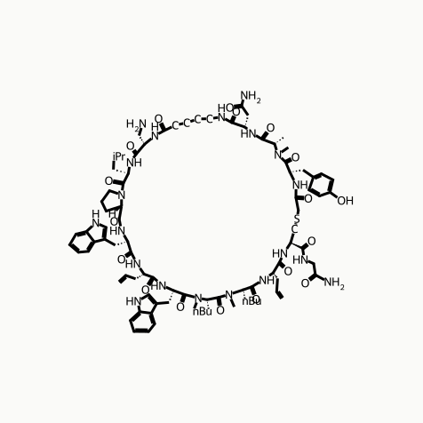 C=CC[C@@H]1NC(=O)[C@H](Cc2c[nH]c3ccccc23)NC(=O)[C@@H]2CCCN2C(=O)[C@H](CC(C)C)NC(=O)[C@H](CN)NC(=O)CCCCNC(=O)[C@H](CC(N)=O)NC(=O)[C@H](C)N(C)C(=O)[C@H](Cc2ccc(O)cc2)NC(=O)CSC[C@@H](C(=O)NCC(N)=O)NC(=O)[C@H](CC=C)NC(=O)[C@H](CCCC)N(C)C(=O)[C@H](CCCC)N(C)C(=O)[C@H](Cc2c[nH]c3ccccc23)NC1=O